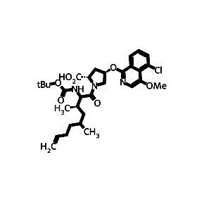 C=CCCC(C)C[C@@H](C)C(NC(=O)OC(C)(C)C)C(=O)N1C[C@H](Oc2ncc(OC)c3c(Cl)cccc23)C[C@H]1C(=O)O